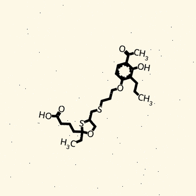 CCCc1c(OCCCSCC2COC(CC)(CCCC(=O)O)S2)ccc(C(C)=O)c1O